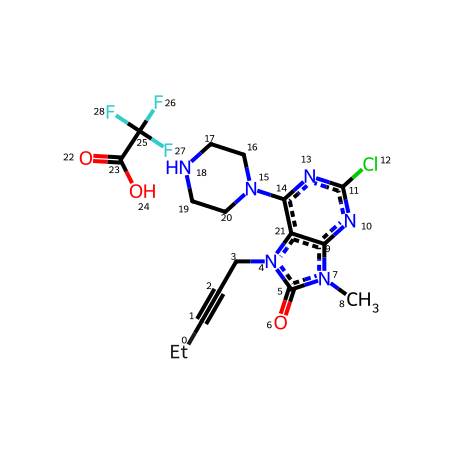 CCC#CCn1c(=O)n(C)c2nc(Cl)nc(N3CCNCC3)c21.O=C(O)C(F)(F)F